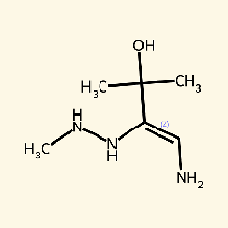 CNN/C(=C\N)C(C)(C)O